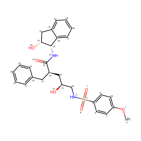 CCCOc1ccc(S(=O)(=O)NC[C@@H](O)C[C@@H](Cc2ccccc2)C(=O)N[C@H]2c3ccccc3C[C@H]2O)cc1